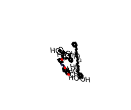 CC(C)(O)c1ccccc1CC[C@@H](SCC1(CC(=O)O)CC1)c1cccc(/C=C/c2ccc3ccc(Cl)cc3n2)c1.OCc1cc(C(O)CNCCCCCCOCCCCc2ccccc2)ccc1O